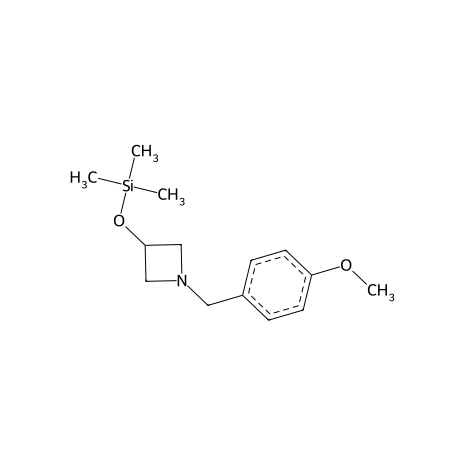 COc1ccc(CN2CC(O[Si](C)(C)C)C2)cc1